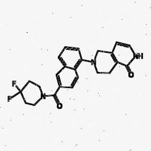 O=C(c1ccc2c(N3CCc4c(cc[nH]c4=O)C3)cccc2c1)N1CCC(F)(F)CC1